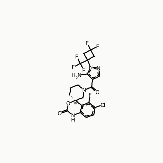 Nc1c(C(=O)N2CCC[C@@]3(C2)OC(=O)Nc2ccc(Cl)c(F)c23)cnn1C1(C(F)(F)F)CC(F)(F)C1